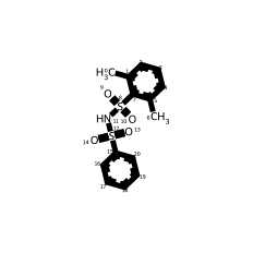 Cc1cccc(C)c1S(=O)(=O)NS(=O)(=O)c1ccccc1